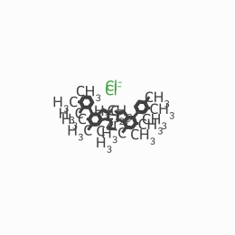 CC1=Cc2c(-c3ccc(C)c(C)c3C)c(C)c(C)c(C)c2[CH]1[Zr+2]1([CH]2C(C)=Cc3c(-c4ccc(C)c(C)c4C)c(C)c(C)c(C)c32)[CH2][CH2]1.[Cl-].[Cl-]